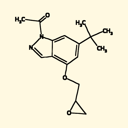 CC(=O)n1ncc2c(OCC3CO3)cc(C(C)(C)C)cc21